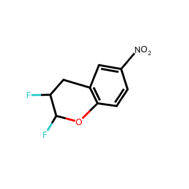 O=[N+]([O-])c1ccc2c(c1)CC(F)C(F)O2